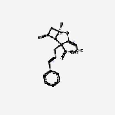 COC(=O)C1(C/C=C/c2ccccc2)/C(=C\C=O)O[C@@H]2CC(=O)N21